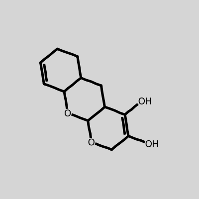 OC1=C(O)C2CC3CCC=CC3OC2OC1